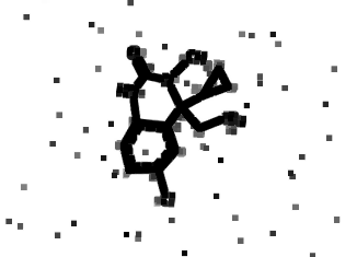 CN1C(=O)Nc2ccc(Cl)cc2C1(CC(C)(C)C)C1CC1